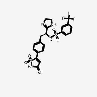 O=C1C=C(c2ccc(C[C@H](NS(=O)(=O)c3cccc(C(F)(F)F)c3)C3=NCCN3)cc2)S(=O)(=O)N1